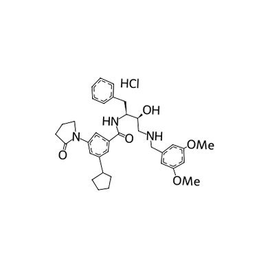 COc1cc(CNC[C@H](O)[C@H](Cc2ccccc2)NC(=O)c2cc(C3CCCC3)cc(N3CCCC3=O)c2)cc(OC)c1.Cl